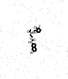 CC(=O)N(CCOC(=O)Nc1cc2cc(Br)ccc2cn1)NCc1cccc(F)c1Cl